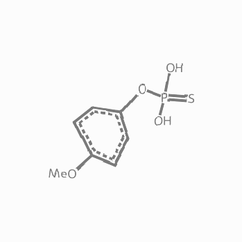 COc1ccc(OP(O)(O)=S)cc1